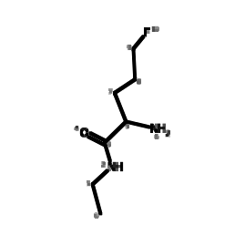 CCNC(=O)C(N)CCCF